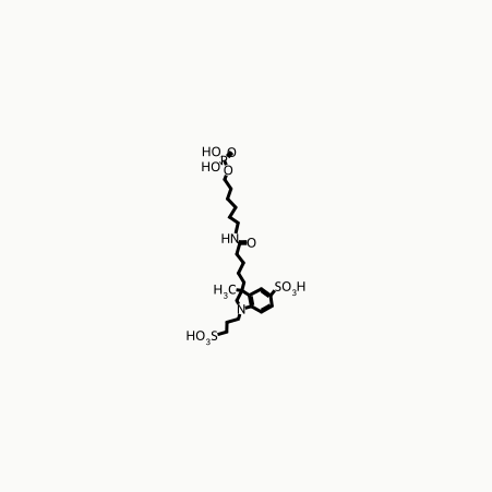 CC1(CCCCC(=O)NCCCCCCOP(=O)(O)O)CN(CCCS(=O)(=O)O)c2ccc(S(=O)(=O)O)cc21